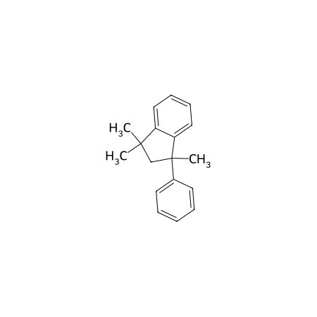 CC1(C)CC(C)(c2ccccc2)c2ccccc21